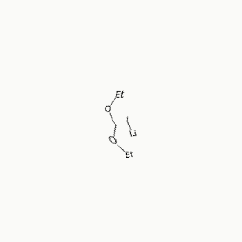 CCOCOCC.[Li][CH3]